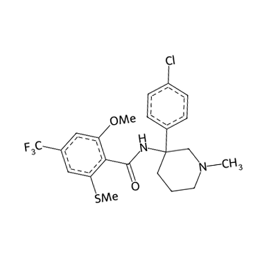 COc1cc(C(F)(F)F)cc(SC)c1C(=O)NC1(c2ccc(Cl)cc2)CCCN(C)C1